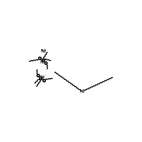 CCCCCCC1=C(c2cccc(CCCCCC)c2)[N+](=[N-])C(c2ccc(CCCC)cc2)=C1CCCCC.CCCCCCCCCCCCCCCCCCCCCCCCCC[CH2][Ni][CH2]CCCCCCCCCCCCCCCCCCCCCCCCCC.CCCCCCCCc1cccc(C2=C(CCCCCC)C(CCCCC)=C(c3ccc(CCCC)cc3)[N+]2=[N-])c1.C[CH2][Ni][CH2]C